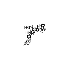 CCOC(=O)C[S+]([O-])c1ccc(Nc2ncc(-c3ccc(NC(=O)C4(c5ccccc5)CC4)c(F)c3)c(NC(C)CO)n2)cc1